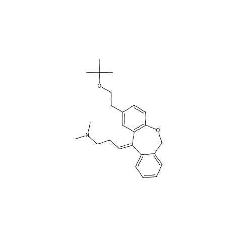 CN(C)CC/C=C1/c2ccccc2COc2ccc(CCOC(C)(C)C)cc21